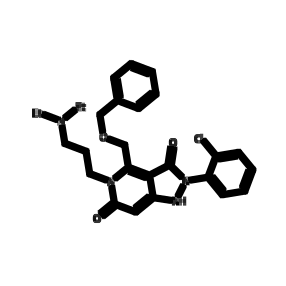 CCN(CC)CCCn1c(COCc2ccccc2)c2c(=O)n(-c3ccccc3Cl)[nH]c2cc1=O